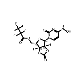 O=C1O[C@@H]2[C@H](O1)[C@@H](COC(=O)C(Cl)(Cl)C(F)(F)F)O[C@H]2n1ccc(NO)nc1=O